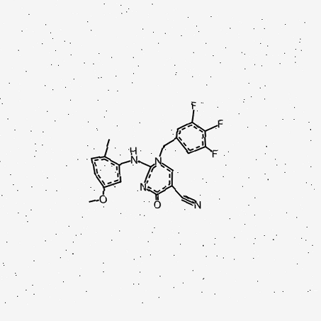 COc1ccc(C)c(Nc2nc(=O)c(C#N)cn2Cc2cc(F)c(F)c(F)c2)c1